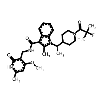 COc1cc(C)[nH]c(=O)c1CNC(=O)c1c(C)n([C@H](C)C2CCN(C(=O)C(C)(C)F)CC2)c2ccccc12